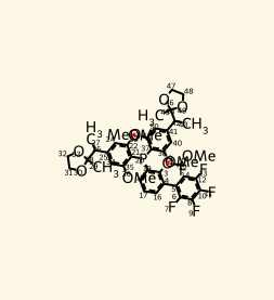 COCOc1c(-c2c(F)c(F)c(F)c(F)c2F)cccc1P(c1c(OC)cc(C(C)C2(C)OCCO2)cc1OC)c1c(OC)cc(C(C)C2(C)OCCO2)cc1OC